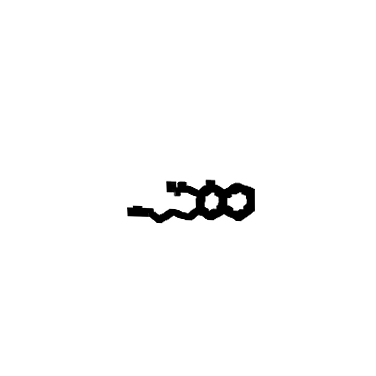 CCCCCCCCCCCCc1cc2ccccc2nc1C